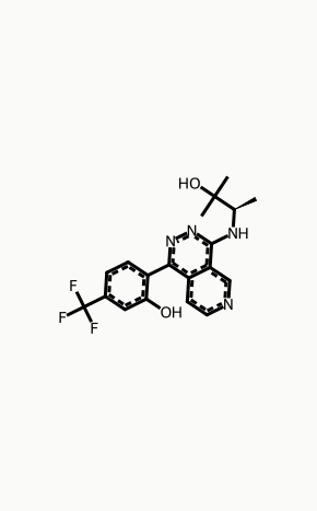 C[C@@H](Nc1nnc(-c2ccc(C(F)(F)F)cc2O)c2ccncc12)C(C)(C)O